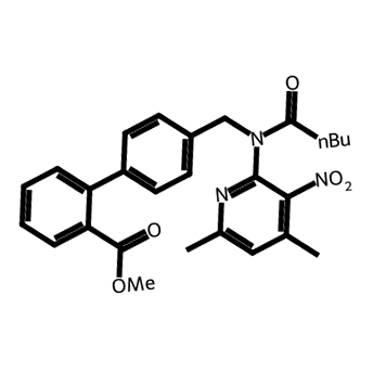 CCCCC(=O)N(Cc1ccc(-c2ccccc2C(=O)OC)cc1)c1nc(C)cc(C)c1[N+](=O)[O-]